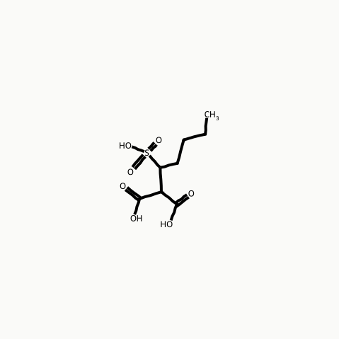 CCCCC([C](C(=O)O)C(=O)O)S(=O)(=O)O